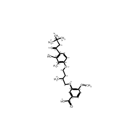 COc1ccc(C(=O)O)cc1OCC(C)CCOc1ccc(C(=O)CC(C)(C)C)c(O)c1C